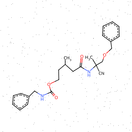 CC(CCOC(=O)NCc1ccccc1)CC(=O)NC(C)(C#N)COCc1ccccc1